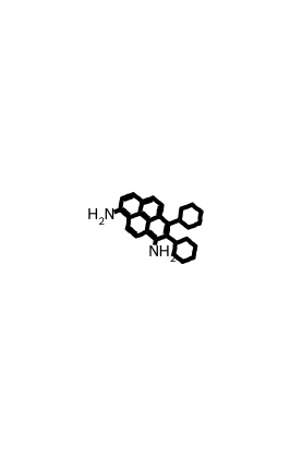 Nc1ccc2ccc3c(C4CCCCC4)c(C4CCCCC4)c(N)c4ccc1c2c43